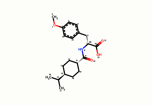 COc1ccc(C[C@@H](NC(=O)[C@H]2CC[C@H](C(C)C)CC2)C(=O)O)cc1